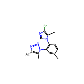 CC(=O)c1nnn(-c2cc(C)ccc2-n2cnc(Br)c2C)c1C